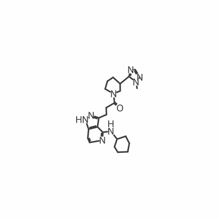 Cn1ncnc1C1CCCN(C(=O)CCc2n[nH]c3ccnc(NC4CCCCC4)c23)C1